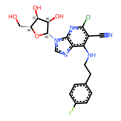 N#Cc1c(Cl)nc2c(ncn2[C@@H]2O[C@H](CO)[C@@H](O)[C@H]2O)c1NCCc1ccc(F)cc1